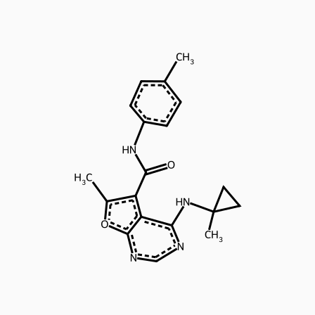 Cc1ccc(NC(=O)c2c(C)oc3ncnc(NC4(C)CC4)c23)cc1